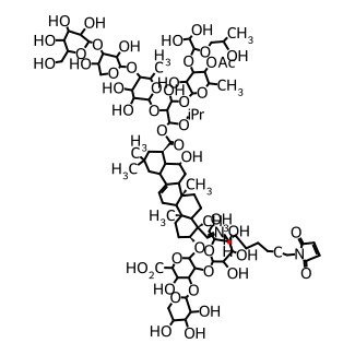 CC(=O)OC1C(C)OC(OC(O)C(OC2OC(C)C(OC3OCC(O)C(OC4OC(CO)C(O)C(O)C4O)C3O)C(O)C2O)C(OC(=O)[C@@H]2CC(C)(C)CC3C4=CCC5[C@@](C)(CCC6[C@]5(C)CC[C@H](OC5OC(C(=O)O)C(O)C(OC7OCC(O)C(O)C7O)C5OC5OC(CO)C(O)C(O)C5O)[C@@]6(C)/C=N/NCCCCCCN5C(=O)C=CC5=O)C4C[C@@H](O)C32)OC(C)C)C(O)C1OC(OCC(C)O)C(O)O